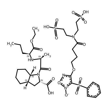 CCC[C@H](N[C@@H](C)C(=O)N1[C@H](C(=O)O)C[C@@H]2CCCC[C@@H]21)C(=O)OCC.O=C(CCCOc1no[n+]([O-])c1S(=O)(=O)c1ccccc1)N(CCS(=O)(=O)O)CCS(=O)(=O)O